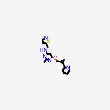 Cc1nc(NCc2ccns2)cc(OCC2CC2c2ccccn2)n1